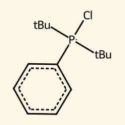 CC(C)(C)[P](Cl)(c1ccccc1)C(C)(C)C